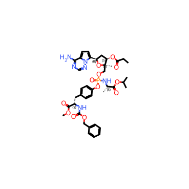 CCC(=O)O[C@H]1C[C@H](c2ccc3c(N)ncnn23)O[C@]1(C)COP(=O)(N[C@@H](C)C(=O)OC(C)C)Oc1ccc(C[C@H](NC(=O)OCc2ccccc2)C(=O)OC)cc1